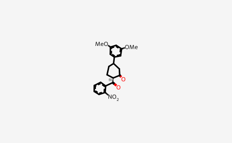 COc1cc(OC)cc(C2CC[C@H](C(=O)c3ccccc3[N+](=O)[O-])C(=O)C2)c1